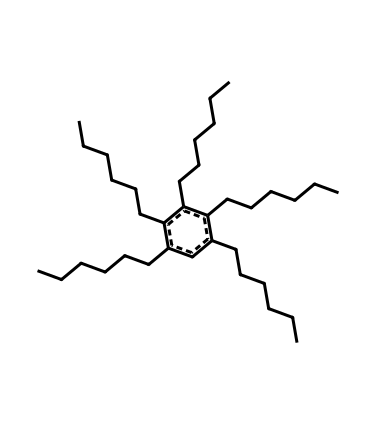 CCCCCCc1cc(CCCCCC)c(CCCCCC)c(CCCCCC)c1CCCCCC